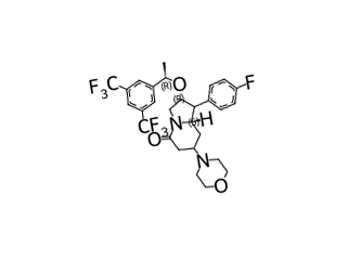 C[C@@H](O[C@H]1CN2C(=O)CC(N3CCOCC3)C[C@H]2C1c1ccc(F)cc1)c1cc(C(F)(F)F)cc(C(F)(F)F)c1